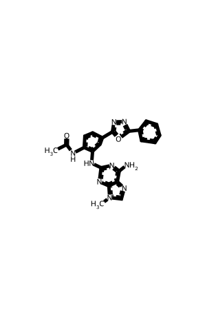 CC(=O)Nc1ccc(-c2nnc(-c3ccccc3)o2)cc1Nc1nc(N)c2ncn(C)c2n1